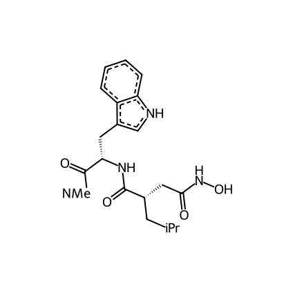 CNC(=O)[C@H](Cc1c[nH]c2ccccc12)NC(=O)[C@H](CC(=O)NO)CC(C)C